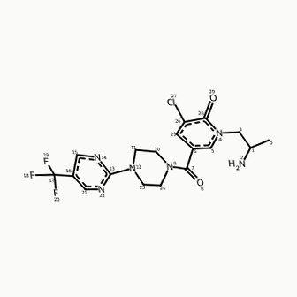 CC(N)Cn1cc(C(=O)N2CCN(c3ncc(C(F)(F)F)cn3)CC2)cc(Cl)c1=O